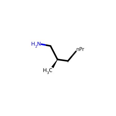 CCC[CH][C@@H](C)CN